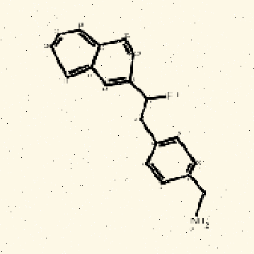 NCc1ccc(CC(F)c2ccc3ccccc3c2)cc1